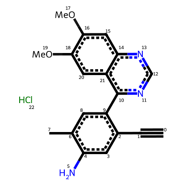 C#Cc1cc(N)c(C)cc1-c1ncnc2cc(OC)c(OC)cc12.Cl